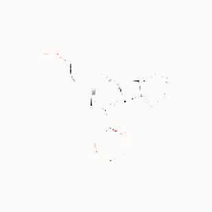 OCCc1cc2c(c(C3COCCO3)c1)-c1ccccc1-2